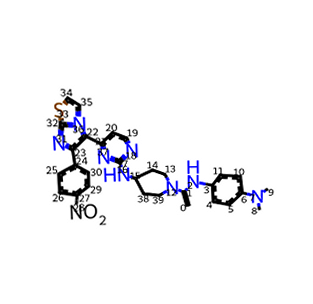 C=C(Nc1ccc(N(C)C)cc1)N1CCC(Nc2nccc(-c3c(-c4ccc([N+](=O)[O-])cc4)nc4sccn34)n2)CC1